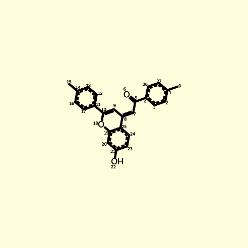 Cc1ccc(C(=O)C=C2C=C(c3ccc(C)cc3)Oc3cc(O)ccc32)cc1